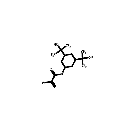 C=C(C(=O)OC1CC(C(O)(C(F)(F)F)C(F)(F)F)CC(C(O)(C(F)(F)F)C(F)(F)F)C1)C(C)C